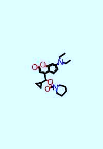 CCN(CC)c1ccc2c(C(OC(=O)N3CCCCC3)C3CC3)cc(=O)oc2c1